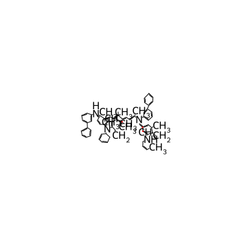 C=Cc1c(/C=C\C)c(C)c(/C=C\C(C)(Nc2cccc(-c3ccccc3)c2)/C(C)=C/C=C(C)/C(C)=C/C=C(\C)N(/C=C/C=C(/NC/C=C\C)C(=C)C(C)/C=C\C)c2cccc(-c3ccccc3)c2)n1C1C=CC=CC1